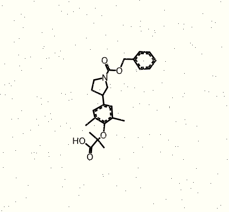 Cc1cc(C2CCN(C(=O)OCc3ccccc3)C2)cc(C)c1OC(C)(C)C(=O)O